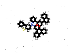 c1cc(-c2ccccc2N(c2ccc3sc4ccccc4c3c2)c2ccc3c4ccccc4c4ccccc4c3c2)cc(-c2cccc3ccccc23)c1